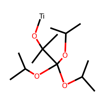 CC(C)OC(OC(C)C)(OC(C)C)C(C)(C)[O][Ti]